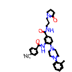 Cc1ccccc1N1CCN(c2ccc(C(=O)NCCCN3CCCC3=O)cc2NC(=O)c2ccc(C#N)cc2)CC1